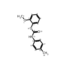 COc1ccccc1OC(=O)Nc1ccc(C)cc1